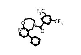 O=C(c1cc(C(F)(F)F)cc(C(F)(F)F)c1)N1CCCOc2nccc(-c3ccccc3)c2C1